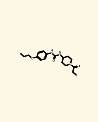 CCCOc1ccc(NC(=O)NC2CCN(C(=O)CI)CC2)cc1